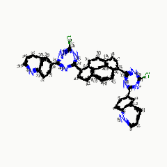 Clc1nc(-c2ccc3ncccc3c2)nc(-c2ccc3ccc4c(-c5nc(Cl)nc(-c6ccc7ncccc7c6)n5)ccc5ccc2c3c54)n1